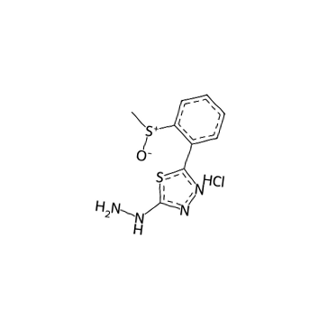 C[S+]([O-])c1ccccc1-c1nnc(NN)s1.Cl